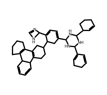 C1=CC2C3=C(CCCC3)C3=C(CCC(C4CC(C5NC(C6=CCCC=C6)NC(C6C=CCCC6)N5)=CC=C4C4N=CN4)C3)C2C=C1